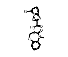 CCc1cccc2nc(C(=O)N[C@H]3COc4ccccc4N(C)C3=O)nn12